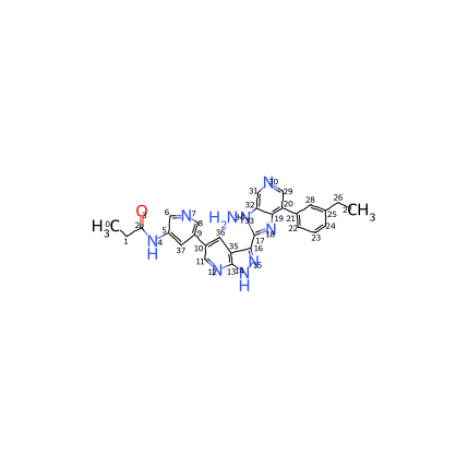 CCC(=O)Nc1cncc(-c2cnc3[nH]nc(-c4nc5c(-c6cccc(CC)c6)cncc5n4N)c3c2)c1